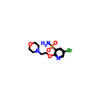 NS(=O)(=O)c1cc(Br)cnc1OCCN1CCOCC1